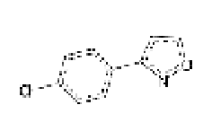 Clc1ccc(-c2ccon2)cc1